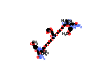 CC(=O)OCc1ccc(NC(=O)C(CCCNC(N)=O)NC(=O)[C@@H](NC(=O)CCOCCOCCOCCOCCN(CCOCCOCCOCCOCCC(=O)N[C@H](C(=O)NC(CCCNC(N)=O)C(=O)Nc2ccc(COC(C)=O)cc2)C(C)C)C(=O)CCCC(=O)ON2C(=O)CCC2=O)C(C)C)cc1